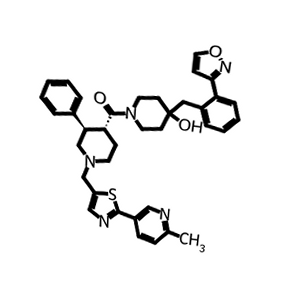 Cc1ccc(-c2ncc(CN3CC[C@@H](C(=O)N4CCC(O)(Cc5ccccc5-c5ccon5)CC4)[C@H](c4ccccc4)C3)s2)cn1